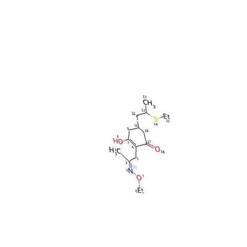 CCO/N=C(/C)CC1=C(O)CC(CC(C)SCC)CC1=O